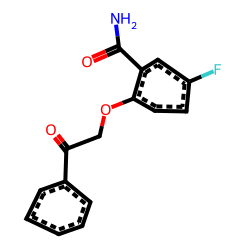 NC(=O)c1cc(F)ccc1OCC(=O)c1ccccc1